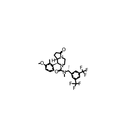 COc1cccc([C@H]2[C@@H]3CCC(=O)N3CCN2C(=O)N(C)[C@H](C)c2cc(C(F)(F)F)cc(C(F)(F)F)c2)c1C